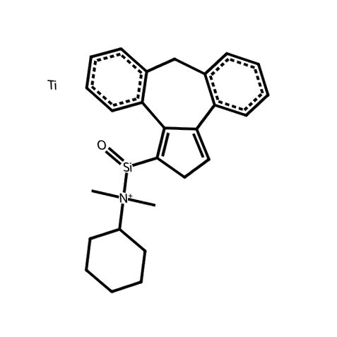 C[N+](C)(C1CCCCC1)[Si](=O)C1=C2C(=CC1)c1ccccc1Cc1ccccc12.[Ti]